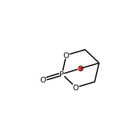 O=P12OCC(CO1)CO2